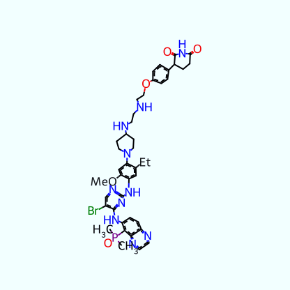 CCc1cc(Nc2ncc(Br)c(Nc3ccc4nccnc4c3P(C)(C)=O)n2)c(OC)cc1N1CCC(NCCNCCOc2ccc(C3CCC(=O)NC3=O)cc2)CC1